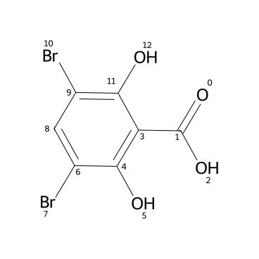 O=C(O)c1c(O)c(Br)cc(Br)c1O